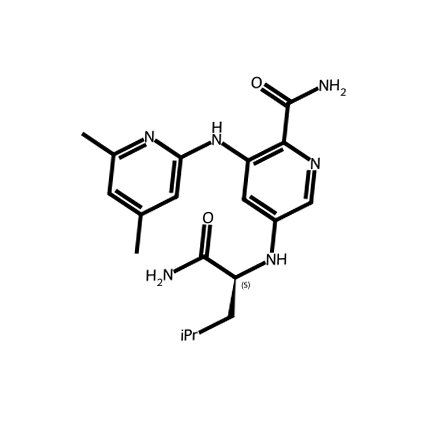 Cc1cc(C)nc(Nc2cc(N[C@@H](CC(C)C)C(N)=O)cnc2C(N)=O)c1